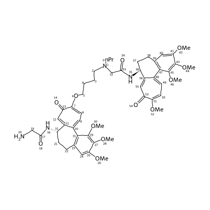 CCCN(CCCCOc1ccc2c(cc1=O)[C@@H](NC(=O)CN)CCc1cc(OC)c(OC)c(OC)c1-2)CC(=O)N[C@H]1CCc2cc(OC)c(OC)c(OC)c2-c2ccc(OC)c(=O)cc21